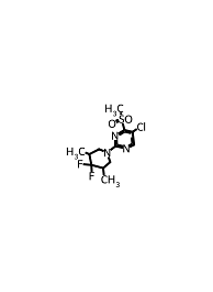 CC1CN(c2ncc(Cl)c(S(C)(=O)=O)n2)CC(C)C1(F)F